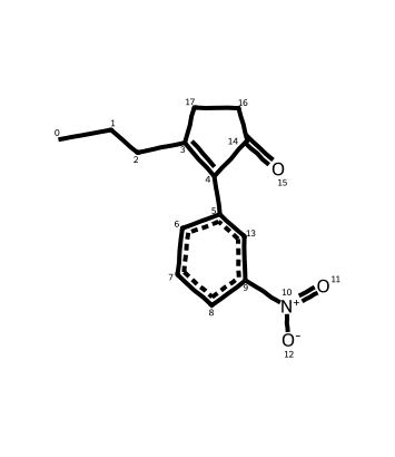 CCCC1=C(c2cccc([N+](=O)[O-])c2)C(=O)CC1